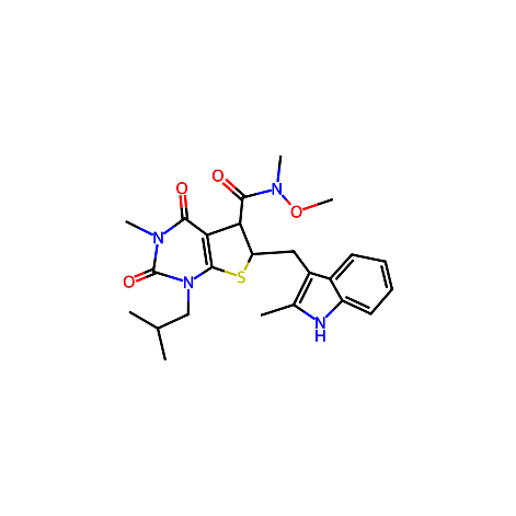 CON(C)C(=O)C1c2c(n(CC(C)C)c(=O)n(C)c2=O)SC1Cc1c(C)[nH]c2ccccc12